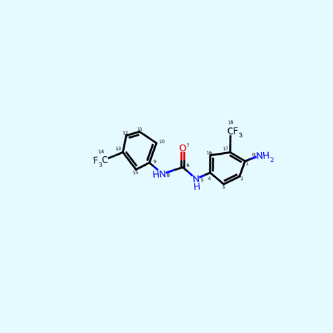 Nc1ccc(NC(=O)Nc2cccc(C(F)(F)F)c2)cc1C(F)(F)F